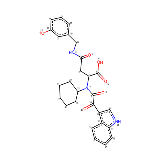 O=C(CC(C(=O)O)N(C(=O)C(=O)c1c[nH]c2ccccc12)C1CCCCC1)NCc1cccc(O)c1